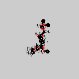 CCC1O[C@@H](O[C@@H]2C(CC)O[C@@H](O[C@H]3C(COC(=O)c4ccccc4)O[C@@H](OC4CCC5(C)C(CCC6C5CCC5(C)C6CC(=O)C5[C@H](C)C(=O)CC[C@H](C)CO[C@@H]5OC[C@@H](C)[C@H](OC(=O)c6ccccc6)C5OC(=O)c5ccccc5)C4)C(C)[C@H]3C)C(C)[C@H]2C)C(C)[C@@H](C)[C@@H]1C